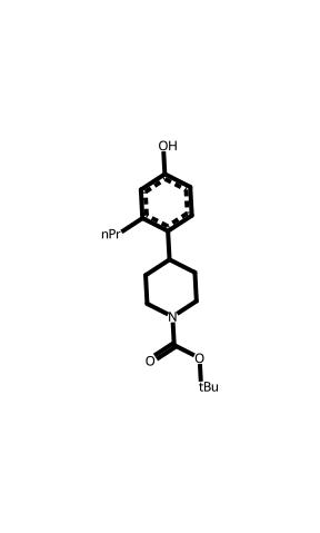 CCCc1cc(O)ccc1C1CCN(C(=O)OC(C)(C)C)CC1